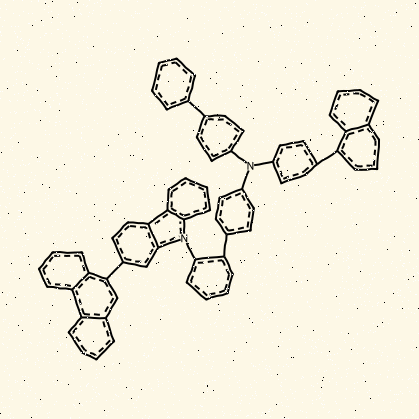 c1ccc(-c2ccc(N(c3ccc(-c4ccccc4-n4c5ccccc5c5ccc(-c6cc7ccccc7c7ccccc67)cc54)cc3)c3ccc(-c4cccc5ccccc45)cc3)cc2)cc1